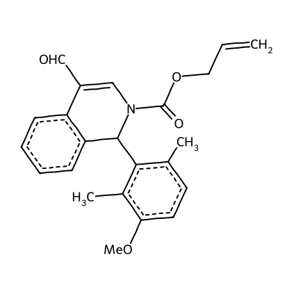 C=CCOC(=O)N1C=C(C=O)c2ccccc2C1c1c(C)ccc(OC)c1C